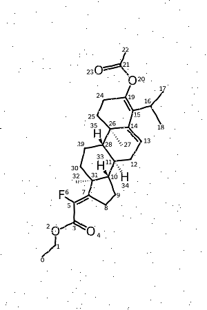 CCOC(=O)C(F)=C1CC[C@H]2[C@@H]3CC=C4C(C(C)C)=C(OC(C)=O)CC[C@]4(C)[C@H]3CC[C@]12C